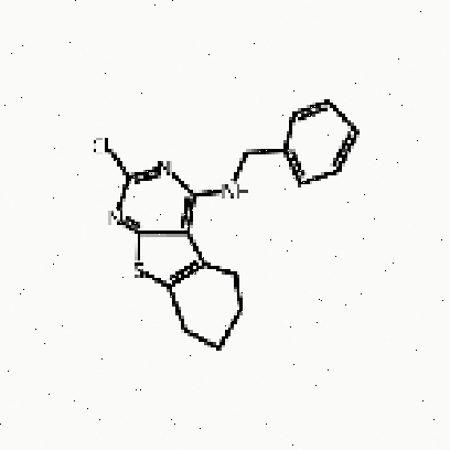 Clc1nc(NCc2ccccc2)c2c3c(sc2n1)CCCC3